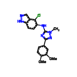 COc1ccc(-c2nc(Nc3ccc4[nH]ncc4c3Cl)n(C)n2)cc1OC